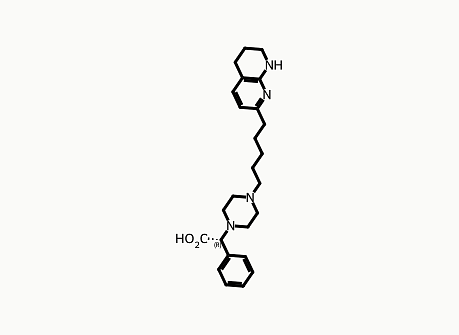 O=C(O)[C@@H](c1ccccc1)N1CCN(CCCCCc2ccc3c(n2)NCCC3)CC1